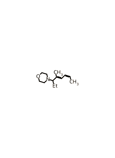 C/C=C\C=C(/C)C(CC)N1CCOCC1